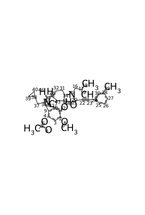 COc1cc(OC(C)=O)c2c3c1O[C@H]1[C@H](N(CC(C)C)C(=O)C#Cc4cccc(C)c4)CC[C@H]4[C@@H](C2)N(CC2CC2)CC[C@@]341